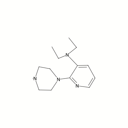 CCN(CC)c1cccnc1N1CC[N]CC1